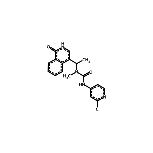 CC(c1c[nH]c(=O)c2ccccc12)N(C)C(=O)Nc1ccnc(Cl)c1